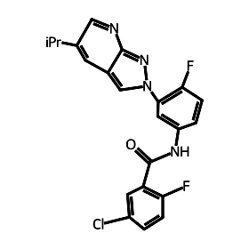 CC(C)c1cnc2nn(-c3cc(NC(=O)c4cc(Cl)ccc4F)ccc3F)cc2c1